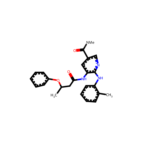 CNC(=O)c1cnc(Nc2ccccc2C)c(NC(=O)CC(C)Oc2ccccc2)c1